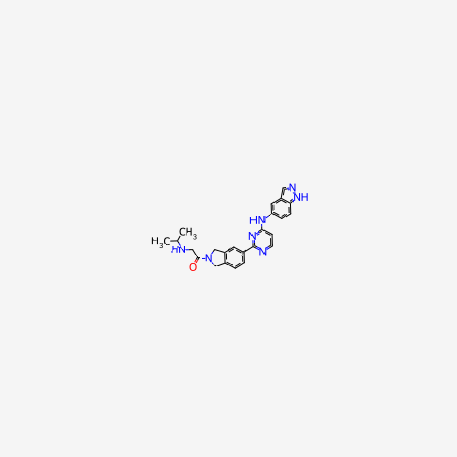 CC(C)NCC(=O)N1Cc2ccc(-c3nccc(Nc4ccc5[nH]ncc5c4)n3)cc2C1